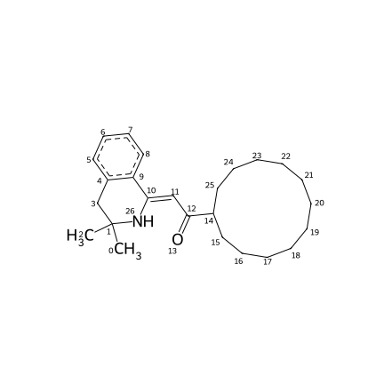 CC1(C)Cc2ccccc2C(=CC(=O)C2CCCCCCCCCCC2)N1